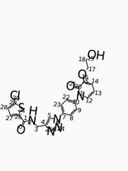 O=C(NCc1cn(-c2ccc(-n3cccc(OCCO)c3=O)cc2)nn1)c1ccc(Cl)s1